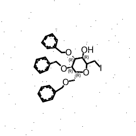 O[C@H]1C(CI)O[C@H](COCc2ccccc2)[C@@H](OCc2ccccc2)[C@@H]1OCc1ccccc1